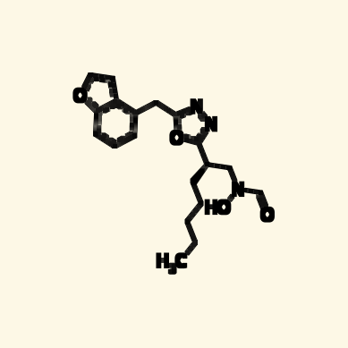 CCCCC[C@H](CN(O)C=O)c1nnc(Cc2cccc3occc23)o1